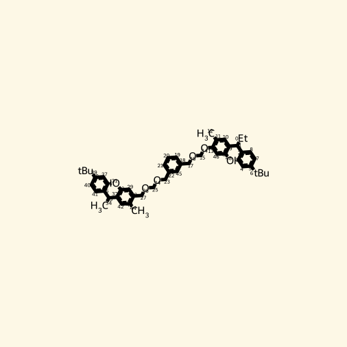 CCC(c1ccc(C(C)(C)C)cc1)c1cc(C)c(OCOCc2cccc(COCOCc3cc(O)c(C(C)c4ccc(C(C)(C)C)cc4)cc3C)c2)cc1O